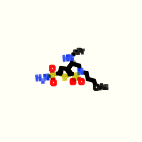 CCCN[C@H]1CN(CCCOC(C)=O)S(=O)(=O)c2sc(S(N)(=O)=O)cc21